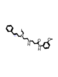 COc1cccc(NC(=O)CCNCCN(CI)C/C=C/c2ccccc2)c1